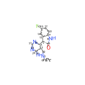 CCCn1cc2c(C3C(=O)Nc4ccc(F)cc43)ncnc2n1